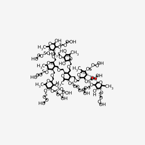 CC1O[C@@H](COCC2[C@H](COCC3[C@H](COC[C@@H]4C(OSOOO)C(O)OC(C)[C@H]4OSOOO)OC(C)[C@@H](OSOOO)[C@@H]3COC[C@@H]3OC(C)[C@H](OSOOO)[C@H](OSOOO)C3OSOOO)OC(C)[C@@H](OSOOO)[C@@H]2COC[C@@H]2OC(C)[C@@H](OSOOO)[C@H](COC[C@@H]3OC(C)[C@H](OSOOO)[C@H](O)C3OSOOO)C2OSOOO)C(O)[C@@H](OS(=O)(=O)O)[C@@H]1O